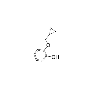 Oc1ccccc1OCC1CC1